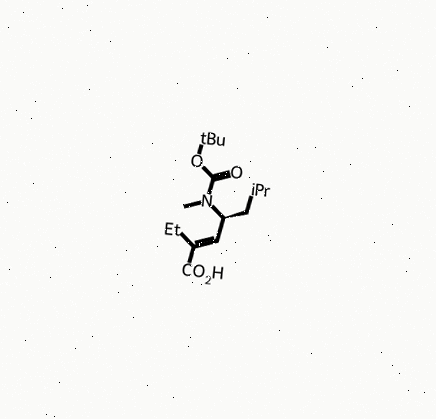 CC/C(=C\[C@H](CC(C)C)N(C)C(=O)OC(C)(C)C)C(=O)O